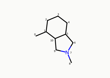 CC1CCCC2CN(C)CC12